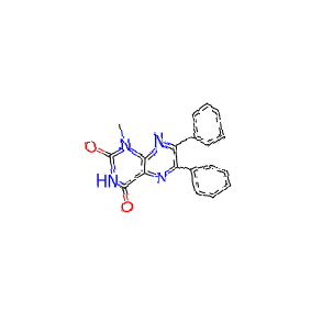 Cn1c(=O)[nH]c(=O)c2nc(-c3ccccc3)c(-c3ccccc3)nc21